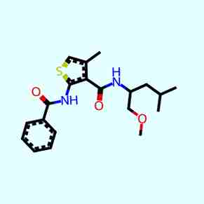 COCC(CC(C)C)NC(=O)c1c(C)csc1NC(=O)c1ccccc1